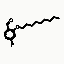 CCCCCCCCCOc1cc(F)ccc1C=O